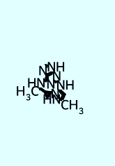 Cc1cc(Nc2nc(NC(C)C3CC3)c3nc[nH]c3n2)n[nH]1